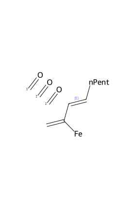 C=[C]([Fe])/C=C/CCCCC.[C]=O.[C]=O.[C]=O